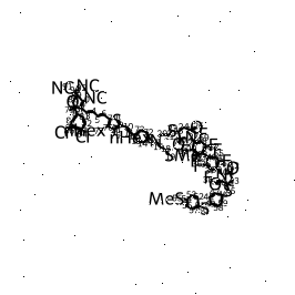 [C-]#[N+]C1=C(/C=C/C=C/c2sc(/C=C/c3ccc(N(CCSC)CCSC4CC(=O)N(c5c(F)c(F)c(-c6c(F)c(F)c(N7C(=O)CC(Sc8ccc(Sc9ccc(SC)cc9)cc8)C7=O)c(F)c6F)c(F)c5F)C4=O)cc3)c(CCCCCC)c2CCCCCC)C(C)(c2ccc(Cl)c(Cl)c2)O/C1=C(\C#N)[N+]#[C-]